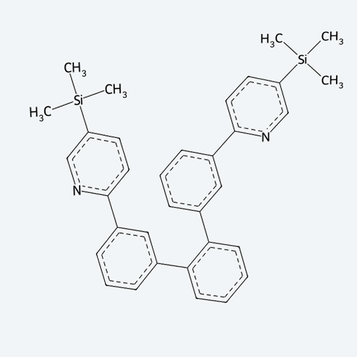 C[Si](C)(C)c1ccc(-c2cccc(-c3ccccc3-c3cccc(-c4ccc([Si](C)(C)C)cn4)c3)c2)nc1